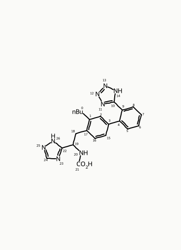 CCCCc1cc(-c2ccccc2-c2nnn[nH]2)ccc1CC(NC(=O)O)c1ncn[nH]1